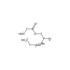 CCCCCCCCCCCC(=O)O.CCCCCCCCCCCC(=O)OCC(CC)CCCC